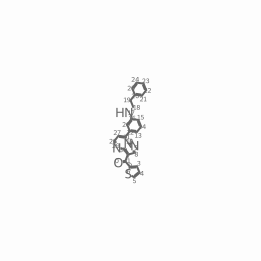 O=C(c1cccs1)c1cnn2c(-c3cccc(NCCc4ccccc4)c3)ccnc12